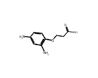 Nc1ccc(OCCC(=O)O)c(N)c1